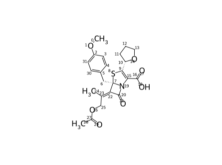 COc1ccc(C[C@]23SC([C@@H]4CCCO4)=C(C(=O)O)N2C(=O)C3=C(C)COC(C)=O)cc1